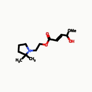 COC(O)/C=C/C(=O)OCCN1CCCC1(C)C